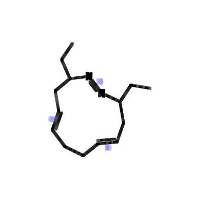 CCC1C/C=C/CC/C=C/CC(CC)/N=N/1